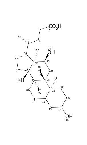 C[C@H](CCC(=O)O)[C@H]1CC[C@H]2[C@@H]3CCC4CC(O)CC[C@]4(C)[C@H]3C[C@H](O)[C@]12C